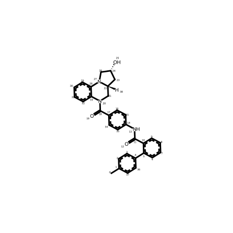 Cc1ccc(-c2ccccc2C(=O)Nc2ccc(C(=O)N3C[C@H]4C[C@@H](O)CN4c4ccccc43)cc2)cc1